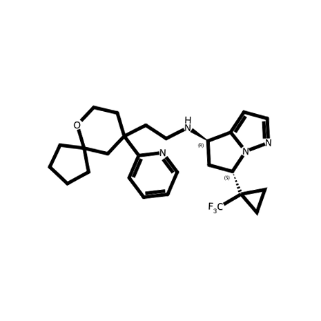 FC(F)(F)C1([C@@H]2C[C@@H](NCCC3(c4ccccn4)CCOC4(CCCC4)C3)c3ccnn32)CC1